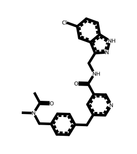 CC(=O)N(C)Cc1ccc(Cc2cncc(C(=O)NCc3n[nH]c4ccc(Cl)cc34)c2)cc1